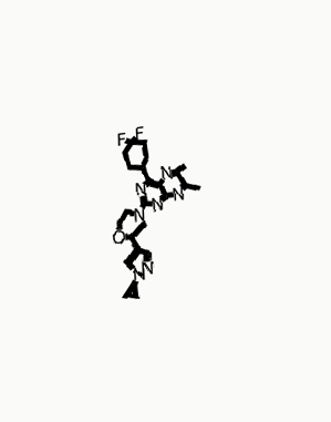 Cc1nc2nc(N3CCOC(c4cnn(C5CC5)c4)C3)nc(C3CCC(F)(F)CC3)c2nc1C